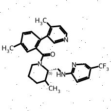 Cc1ccc(-c2cnccc2C)c(C(=O)N2CCCC(C)[C@H]2CNc2ccc(C(F)(F)F)cn2)c1